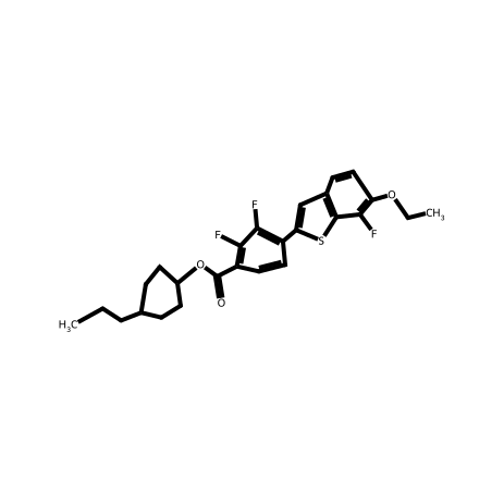 CCCC1CCC(OC(=O)c2ccc(-c3cc4ccc(OCC)c(F)c4s3)c(F)c2F)CC1